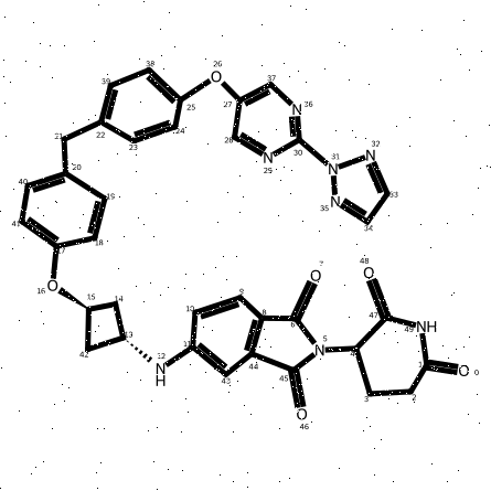 O=C1CCC(N2C(=O)c3ccc(N[C@H]4C[C@H](Oc5ccc(Cc6ccc(Oc7cnc(-n8nccn8)nc7)cc6)cc5)C4)cc3C2=O)C(=O)N1